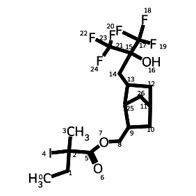 CCC(C)(I)C(=O)OCC1CC2CC(CC(O)(C(F)(F)F)C(F)(F)F)C1C2